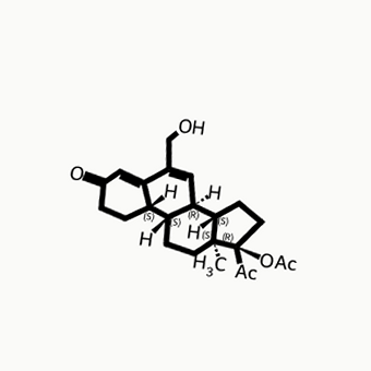 CC(=O)O[C@]1(C(C)=O)CC[C@H]2[C@@H]3C=C(CO)C4=CC(=O)CC[C@H]4[C@H]3CC[C@@]21C